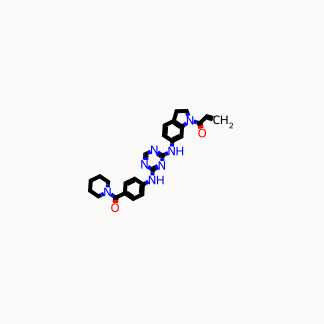 C=CC(=O)N1CCc2ccc(Nc3ncnc(Nc4ccc(C(=O)N5CCCCC5)cc4)n3)cc21